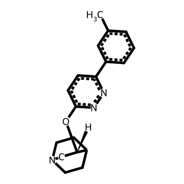 Cc1cccc(-c2ccc(O[C@H]3CN4CCC3CC4)nn2)c1